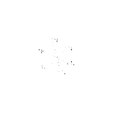 N#[C][W]([C]#N)([C]#N)([C]#N)([C]#N)[C]#N